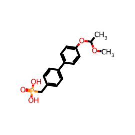 COC(C)Oc1ccc(-c2ccc(CP(=O)(O)O)cc2)cc1